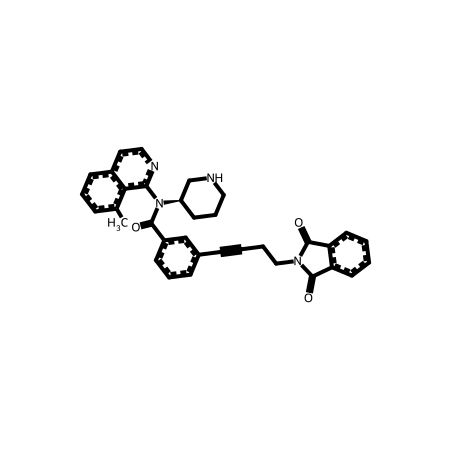 Cc1cccc2ccnc(N(C(=O)c3cccc(C#CCCN4C(=O)c5ccccc5C4=O)c3)[C@@H]3CCCNC3)c12